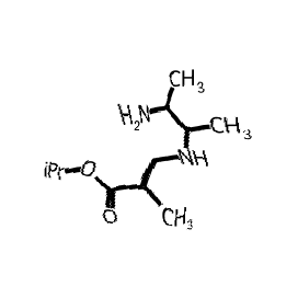 CC(C)OC(=O)C(C)CNC(C)C(C)N